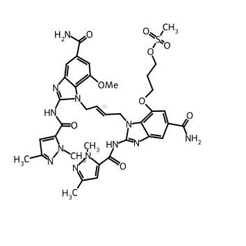 COc1cc(C(N)=O)cc2nc(NC(=O)c3cc(C)nn3C)n(C/C=C/Cn3c(NC(=O)c4cc(C)nn4C)nc4cc(C(N)=O)cc(OCCCOS(C)(=O)=O)c43)c12